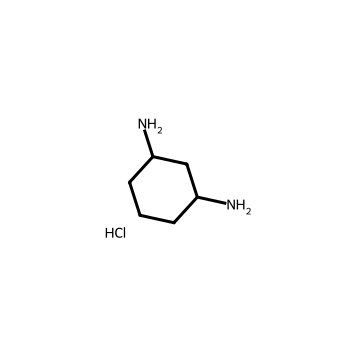 Cl.NC1CCCC(N)C1